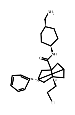 NC[C@H]1CC[C@@H](NC(=O)C23CC4C[C@]2(CCCl)C[C@@]4(c2ccccc2)C3)CC1